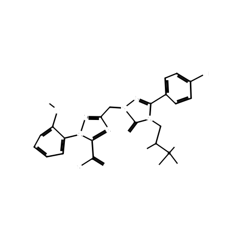 COc1ccccc1-n1nc(Cn2nc(-c3ccc(Cl)cc3)n(CC(O)C(F)(F)F)c2=O)nc1C(N)=O